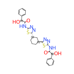 O=C(Nc1nnc([C@H]2CCC[C@H](c3nnc(NC(=O)[C@H](O)c4ccccc4)s3)C2)s1)[C@H](O)c1ccccc1